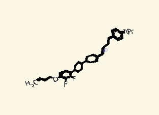 C=CCCOc1ccc(C2CCC(C3CCC(/C=C/CCc4ccc(CCC)cc4)CC3)CC2)c(F)c1F